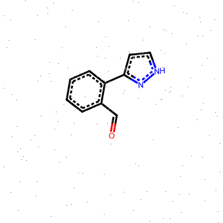 O=Cc1ccccc1-c1cc[nH]n1